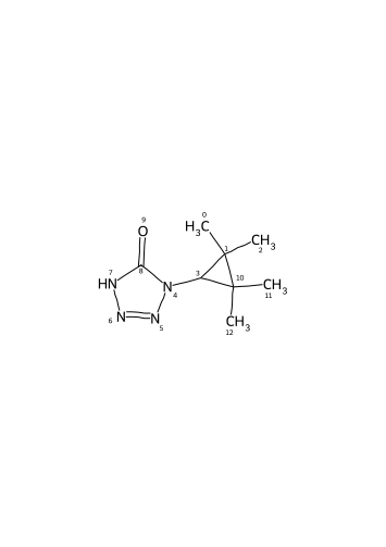 CC1(C)C(n2nn[nH]c2=O)C1(C)C